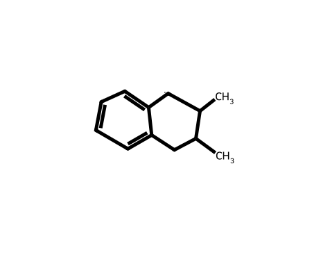 CC1[C]c2ccccc2CC1C